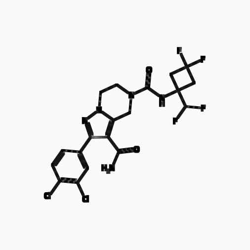 NC(=O)c1c(-c2ccc(Cl)c(Cl)c2)nn2c1CN(C(=O)NC1(C(F)F)CC(F)(F)C1)CC2